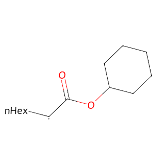 CCCCCC[CH]C(=O)OC1CCCCC1